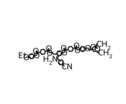 C=CCCC(COc1ccc(OC(=O)C2CCC(C(=O)Oc3ccc(CCOC(=O)C4CCC(C(=O)Oc5ccc(OCC)cc5)CC4)c(C(N)c4ccc(C#N)cc4)c3)CC2)cc1)OC(=O)C=C